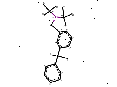 CC(C)(c1ccccc1)c1cccc(CP(C(C)(C)C)C(C)(C)C)c1